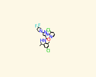 Cc1cc(Cl)cc(C(C)C)c1NC(=O)c1cc(N2CCC(F)(F)C2)nn1-c1ncccc1Cl